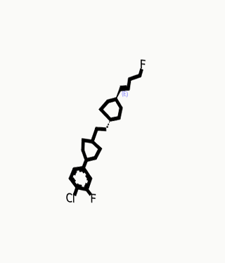 FCC/C=C/[C@H]1CC[C@H](CCC2CCC(c3ccc(Cl)c(F)c3)CC2)CC1